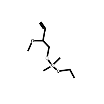 C=CC(CO[Si](C)(C)OCC)OC